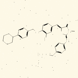 CN1C(=O)C(=Cc2ccc(OCc3ccc(C4CCCCC4)cc3)c(F)c2)SC1=Nc1ccc(CC(=O)O)cc1